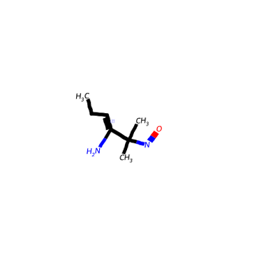 CC/C=C(\N)C(C)(C)N=O